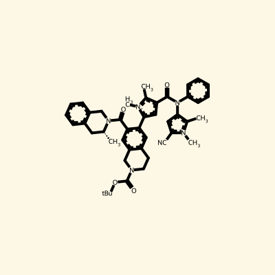 Cc1c(N(C(=O)c2cc(-c3cc4c(cc3C(=O)N3Cc5ccccc5C[C@H]3C)CN(C(=O)OC(C)(C)C)CC4)n(C)c2C)c2ccccc2)cc(C#N)n1C